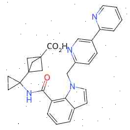 O=C(NC1(C23CC(C(=O)O)(C2)C3)CC1)c1cccc2ccn(Cc3ccc(-c4ccccn4)cn3)c12